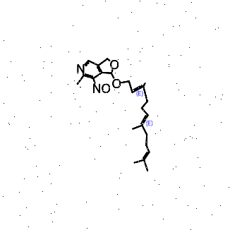 CC(C)=CCC/C(C)=C/CC/C(C)=C/COC1OCc2cnc(C)c(N=O)c21